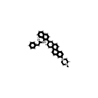 CN1CCN(c2ccc3c(ccc4c5c(ccc43)CC(c3ccc4ccccc4c3NC(=O)Cc3ccccc3)CC5)c2)CC1